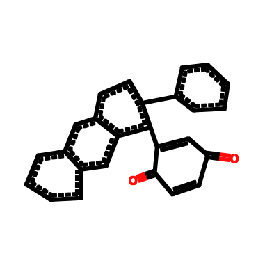 O=C1C=CC(=O)C(c2c(-c3ccccc3)ccc3cc4ccccc4cc23)=C1